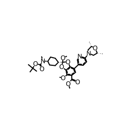 COC(=O)c1cc(-c2ccc(N3C[C@@H](C)O[C@@H](C)C3)nc2)c2c(c1OC)OC(OC)([C@H]1CC[C@H](N(C)C(=O)OC(C)(C)C)CC1)O2